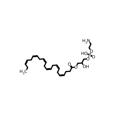 CC/C=C\C/C=C\C/C=C\C/C=C\C/C=C\C/C=C\CCC(=O)OCC(O)COP(=O)(O)OCCN